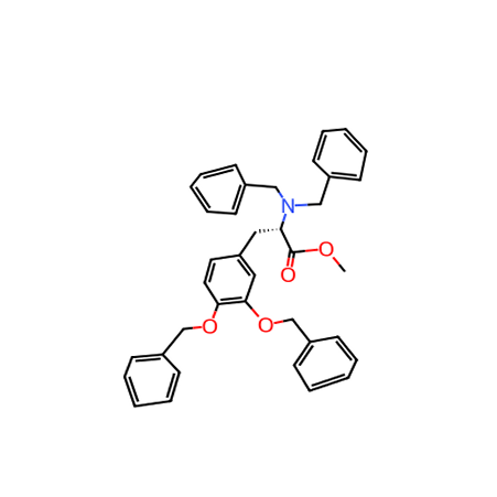 COC(=O)[C@H](Cc1ccc(OCc2ccccc2)c(OCc2ccccc2)c1)N(Cc1ccccc1)Cc1ccccc1